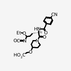 CCOC(CC[C@H](NC(=O)c1ccc(C#N)cc1)C(=O)N1CCC(OCC(=O)O)CC1)N=C=O